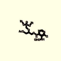 CCOP(=O)(COC(CONc1ncnc(Cl)c1NC=O)COC(C)=O)OCC